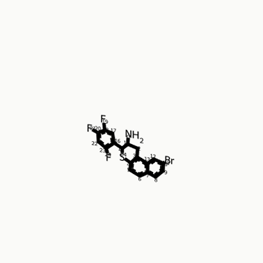 NC1Cc2c(ccc3ccc(Br)cc23)SC1c1cc(F)c(F)cc1F